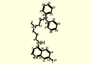 CN(CCCNc1ccnc2cc(I)ccc12)CCN(c1ccccc1)c1ccccc1